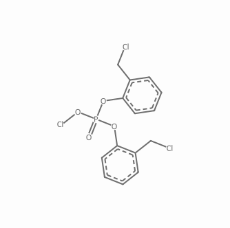 O=P(OCl)(Oc1ccccc1CCl)Oc1ccccc1CCl